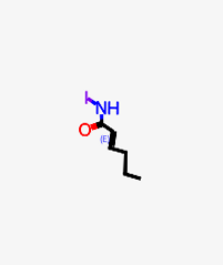 CCC/C=C/C(=O)NI